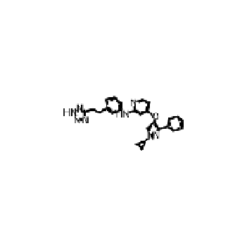 c1ccc(-c2nn(C3CC3)cc2Oc2ccnc(Nc3cccc(CCc4nn[nH]n4)c3)c2)cc1